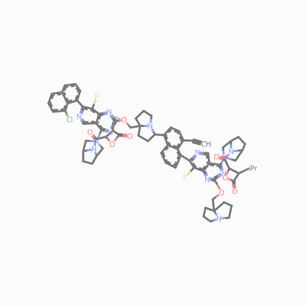 C#Cc1ccc(C2CCC3(COc4nc(N5CC6CCC(C5)N6C(=O)C5OC(=O)C5C(C)C)c5cnc(-c6cccc7cccc(Cl)c67)c(F)c5n4)CCCN23)c2cccc(-c3ncc4c(N5CC6CCC(C5)N6C(=O)C5OC(=O)C5C(C)C)nc(OCC56CCCN5CCC6)nc4c3F)c12